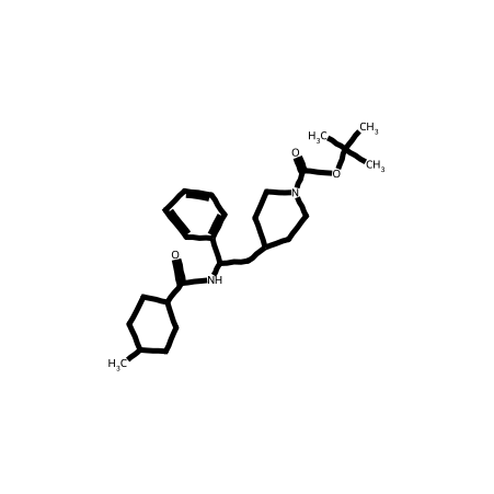 CC1CCC(C(=O)NC(CC2CCN(C(=O)OC(C)(C)C)CC2)c2ccccc2)CC1